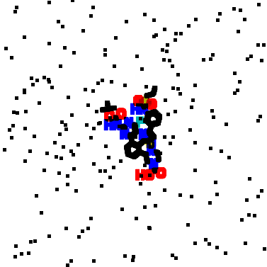 CCCS(=O)(=O)Nc1cccc(-c2csc(-c3c(-c4ccnc(NC(=O)OC(C)(C)C)n4)cccc3C3CN(C(=O)O)CCN3)n2)c1F